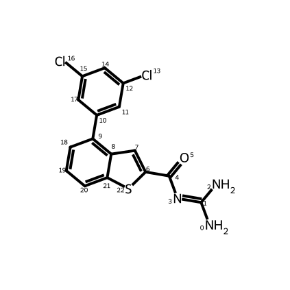 NC(N)=NC(=O)c1cc2c(-c3cc(Cl)cc(Cl)c3)cccc2s1